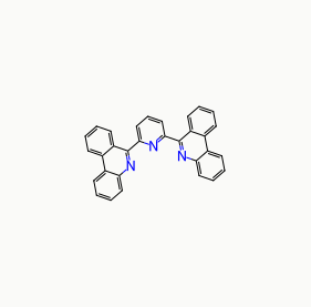 c1cc(-c2nc3ccccc3c3ccccc23)nc(-c2nc3ccccc3c3ccccc23)c1